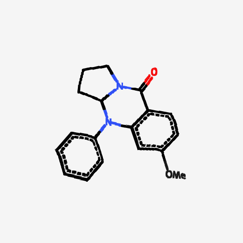 COc1ccc2c(c1)N(c1ccccc1)C1CCCN1C2=O